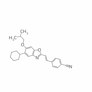 CC(C)COc1cc2oc(C=Cc3ccc(C#N)cc3)nc2cc1C1CCCCC1